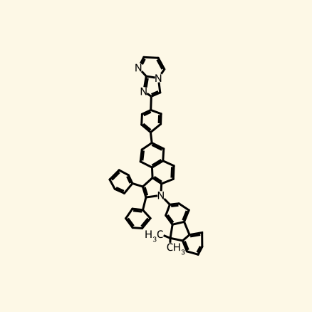 CC1(C)c2ccccc2-c2ccc(-n3c(-c4ccccc4)c(-c4ccccc4)c4c5ccc(-c6ccc(-c7cn8cccnc8n7)cc6)cc5ccc43)cc21